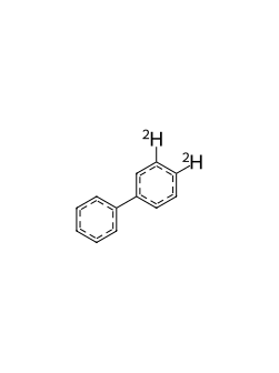 [2H]c1ccc(-c2ccccc2)cc1[2H]